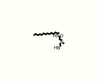 CCCCCCCCCCCCC(C)NC(=O)CCN(C)CCNC